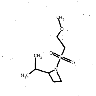 COCCS(=O)(=O)N1CCC1C(C)C